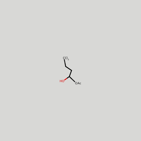 CC(=O)OC(O)CCC(Cl)(Cl)Cl